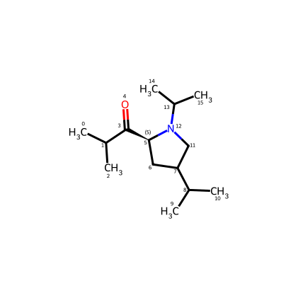 CC(C)C(=O)[C@@H]1CC(C(C)C)CN1C(C)C